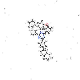 c1ccc(-c2cccc(-c3nc(-c4ccc(-c5ccc6ccccc6c5)cc4)nc(-c4cccc5oc6ccccc6c45)n3)c2)cc1